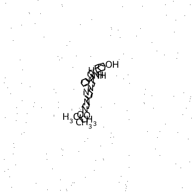 CC(C)(C)OC(=O)N1CCN(c2ccc(N3CCN(C(=O)NC4[C@@H]5CC6C[C@H]4CC(O)(C6)C5)c4ccccc43)nc2)CC1